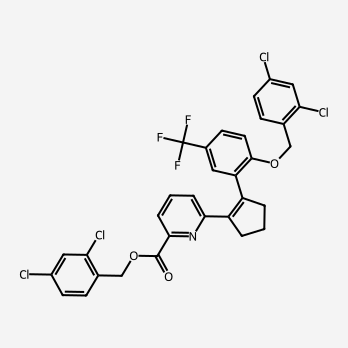 O=C(OCc1ccc(Cl)cc1Cl)c1cccc(C2=C(c3cc(C(F)(F)F)ccc3OCc3ccc(Cl)cc3Cl)CCC2)n1